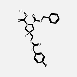 CC(C)(C)OC(=O)N1C[C@@](F)(COC(=O)Oc2ccc(F)cc2)C[C@H]1C(=O)OCc1ccccc1